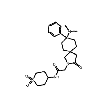 CN(C)[C@]1(c2ccccc2)CC[C@@]2(CC1)CC(=O)N(CC(=O)NC1CCS(=O)(=O)CC1)C2